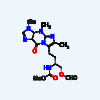 COC(=O)NC(CCc1c(C)nc2n1C(=O)C1N=CN(C(C)(C)C)C1N2C)COC=O